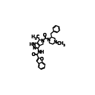 CC1c2[nH]nc(NC(=O)c3cc4ccccc4o3)c2CN1C(=O)N1CCN(C)CC1Cc1ccccc1